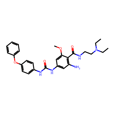 CCN(CC)CCNC(=O)c1c(N)cc(NC(=O)Nc2ccc(Oc3ccccc3)cc2)cc1OC